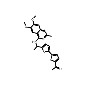 COc1cc2nc(C)nc(NC(C)c3ccc(-c4ccc(C(C)=O)s4)s3)c2cc1OC